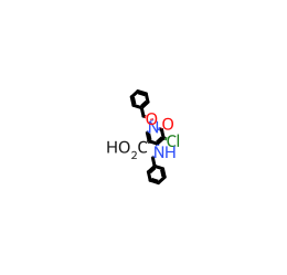 O=C(O)c1cn(OCc2ccccc2)c(=O)c(Cl)c1NCc1ccccc1